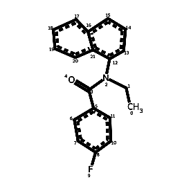 CCN(C(=O)c1ccc(F)cc1)c1cccc2ccccc12